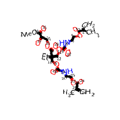 C=C(C)C(=O)OCCNC(=O)OCC(CC)(COC(=O)NCCOC(=O)C(=C)C)C(=O)OCC(=O)C(=O)OC